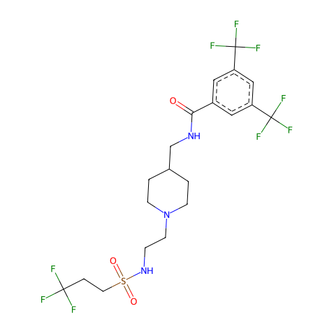 O=C(NCC1CCN(CCNS(=O)(=O)CCC(F)(F)F)CC1)c1cc(C(F)(F)F)cc(C(F)(F)F)c1